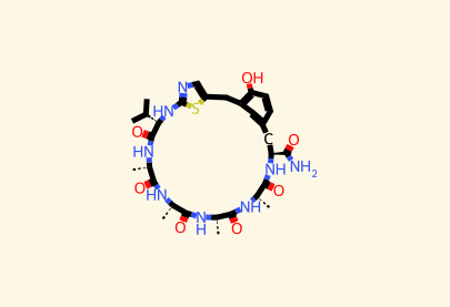 CC(C)[C@@H]1Nc2ncc(s2)Cc2cc(ccc2O)C[C@@H](C(N)=O)NC(=O)[C@H](C)NC(=O)[C@H](C)NC(=O)[C@H](C)NC(=O)[C@H](C)NC1=O